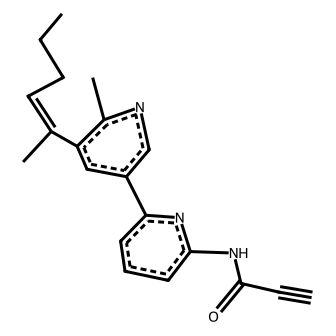 C#CC(=O)Nc1cccc(-c2cnc(C)c(/C(C)=C\CCC)c2)n1